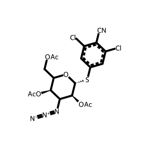 CC(=O)OCC1O[C@H](Sc2cc(Cl)c(C#N)c(Cl)c2)[C@@H](OC(C)=O)C(N=[N+]=[N-])[C@H]1OC(C)=O